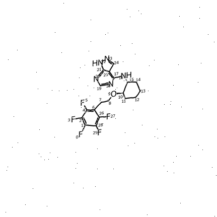 Fc1c(F)c(F)c(CCO[C@@H]2CCCC[C@H]2Nc2ncnc3[nH]ncc23)c(F)c1F